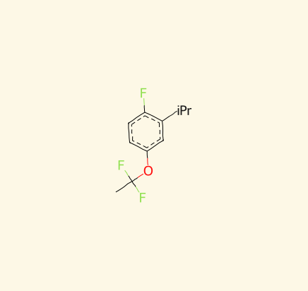 CC(C)c1cc(OC(C)(F)F)ccc1F